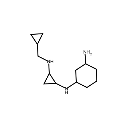 NC1CCCC(NC2CC2NCC2CC2)C1